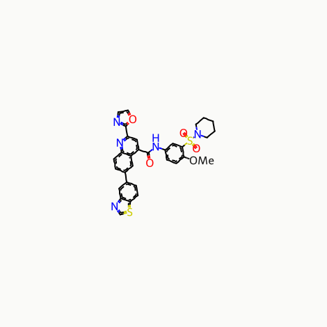 COc1ccc(NC(=O)c2cc(-c3ncco3)nc3ccc(-c4ccc5scnc5c4)cc23)cc1S(=O)(=O)N1CCCCC1